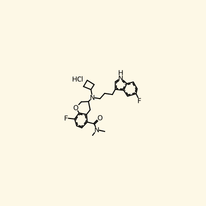 CN(C)C(=O)c1ccc(F)c2c1CC(N(CCCc1c[nH]c3ccc(F)cc13)C1CCC1)CO2.Cl